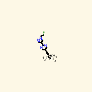 C[Si](C)(C)C#Cc1cnc(-c2cnn(CCF)c2)nc1